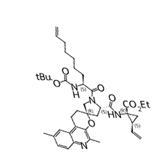 C=CCCCCC[C@H](NC(=O)OC(C)(C)C)C(=O)N1C[C@@]2(CCc3c(c(C)nc4ccc(C)cc34)O2)C[C@H]1C(=O)N[C@]1(C(=O)OCC)C[C@H]1C=C